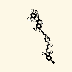 C#Cc1ccc2c(c1)C(=O)N(CCCC(=O)N1CCN(CCCOc3cc4ncc(C#N)c(Nc5cc(OC)c(Cl)cc5Cl)c4cc3OC)CC1)C2=O